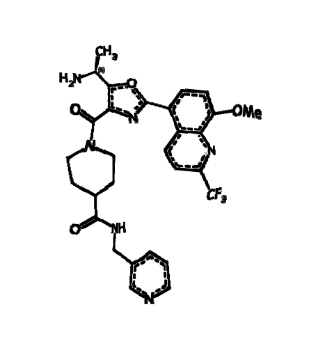 COc1ccc(-c2nc(C(=O)N3CCC(C(=O)NCc4cccnc4)CC3)c([C@H](C)N)o2)c2ccc(C(F)(F)F)nc12